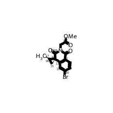 COC(=O)CN1C(=O)c2ccc(Br)cc2[C@]2(C[C@@H]2C)C1=O